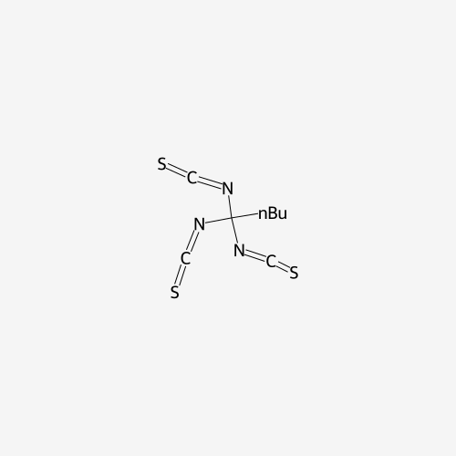 CCCCC(N=C=S)(N=C=S)N=C=S